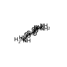 N=C(N)NCC(=O)OC(=O)CCC(=O)C(=O)OC(=O)CNC(=N)N